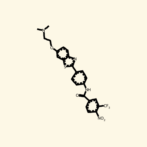 CN(C)CCOc1ccc2nc(-c3ccc(NC(=O)c4ccc([N+](=O)[O-])c(C(F)(F)F)c4)cc3)sc2c1